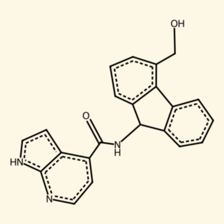 O=C(NC1c2ccccc2-c2c(CO)cccc21)c1ccnc2[nH]ccc12